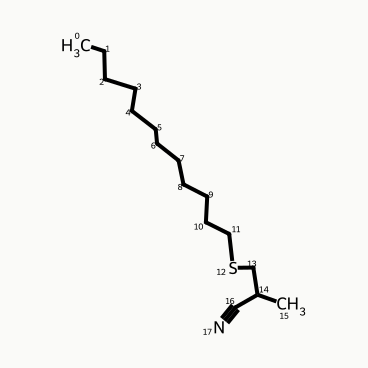 CCCCCCCCCCCCSCC(C)C#N